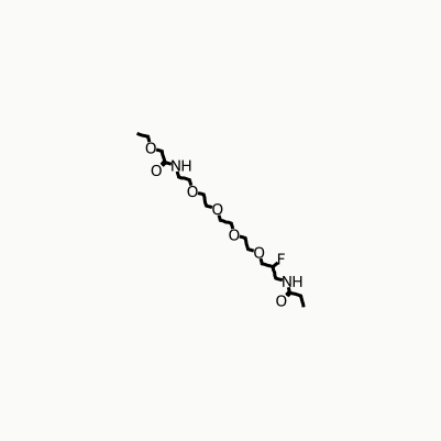 CCOCC(=O)NCCOCCOCCOCCOCC(F)CNC(=O)CC